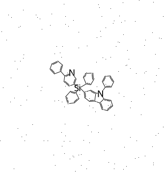 c1ccc(-c2ccc([Si](c3ccccc3)(c3ccccc3)c3ccc4c5ccccc5n(-c5ccccc5)c4c3)cn2)cc1